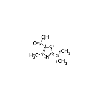 Cc1nc(C(C)C)sc1C(=O)O